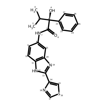 CC(C)[C@@](O)(C(=O)Nc1ccc2[nH]c(-c3cscn3)nc2c1)c1ccccc1